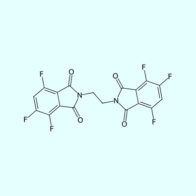 O=C1c2c(F)cc(F)c(F)c2C(=O)N1CCN1C(=O)c2c(F)cc(F)c(F)c2C1=O